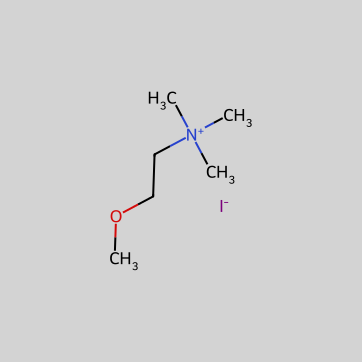 COCC[N+](C)(C)C.[I-]